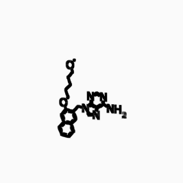 COCCCCCOc1cc2ccccc2cc1Cn1cnc2c(N)ncnc21